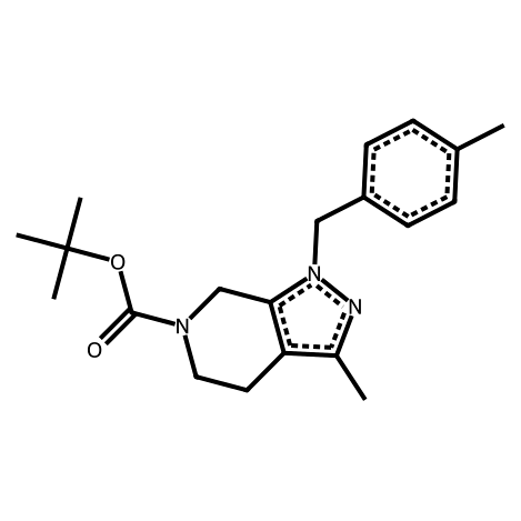 Cc1ccc(Cn2nc(C)c3c2CN(C(=O)OC(C)(C)C)CC3)cc1